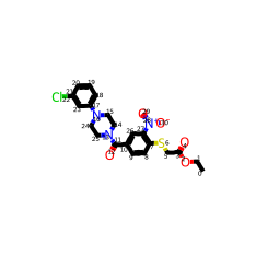 CCOC(=O)CSc1ccc(C(=O)N2CCN(c3cccc(Cl)c3)CC2)cc1[N+](=O)[O-]